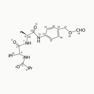 CC(C)C(=O)NC(C(=O)N[C@@H](C)C(=O)Nc1ccc(COC=O)cc1)C(C)C